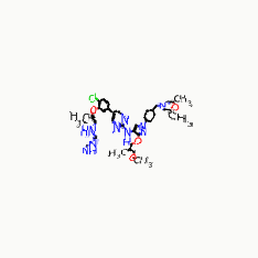 COCC(C)COc1nn(C2CCC(/C=[N+]3/C[C@@H](C)O[C@@H](C)C3)CC2)cc1Nc1ncc(-c2ccc(Cl)c(O[C@@H](C)CN/C=N\C=N)c2)cn1